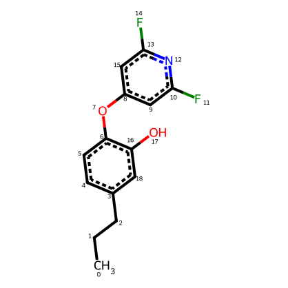 CCCc1ccc(Oc2cc(F)nc(F)c2)c(O)c1